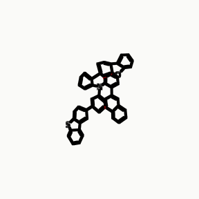 c1cc(-c2ccc3sc4ccccc4c3c2)cc(N(c2ccccc2-c2ccc3ccccc3c2)c2ccccc2-c2ccc3c(c2)oc2ccccc23)c1